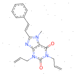 C=CCn1c(=O)c2c(nc(C=Cc3ccccc3)n2C)n(CC=C)c1=O